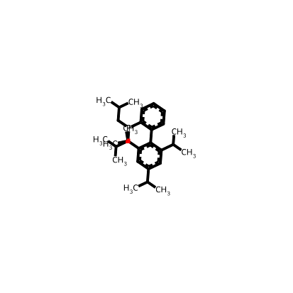 CC(C)CP(CC(C)C)c1ccccc1-c1c(C(C)C)cc(C(C)C)cc1C(C)C